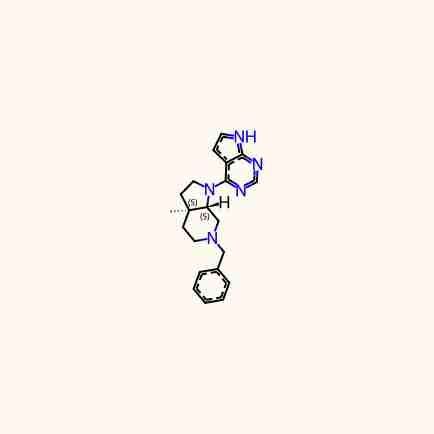 C[C@@]12CCN(Cc3ccccc3)C[C@H]1N(c1ncnc3[nH]ccc13)CC2